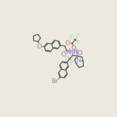 NC1CC2CCC(C1)N2C(=O)[C@@H](NC(=O)[C@@H](OC(=O)C(F)(F)F)c1ccc2cc(OC3CCCC3)ccc2c1)C(F)(F)c1ccc2cc(Br)ccc2c1